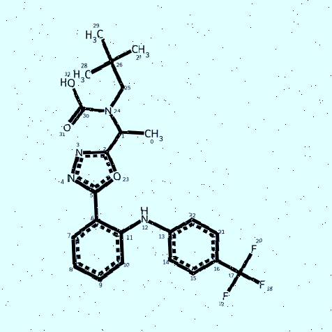 CC(c1nnc(-c2ccccc2Nc2ccc(C(F)(F)F)cc2)o1)N(CC(C)(C)C)C(=O)O